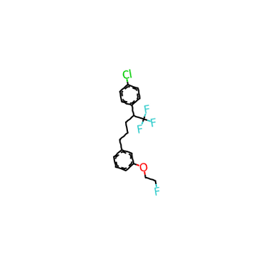 FCCOc1cccc(CCCC(c2ccc(Cl)cc2)C(F)(F)F)c1